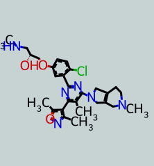 CNC[C@@H](O)COc1ccc(Cl)c(-c2nc(-c3c(C)noc3C)c(C)c(N3CC4=C(CN(C)CC4)C3)n2)c1